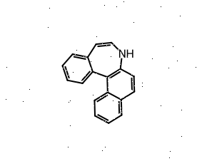 C1=Cc2ccccc2-c2c(ccc3ccccc23)N1